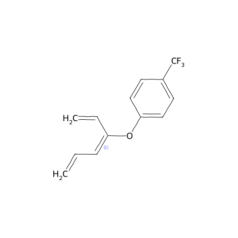 C=C/C=C(\C=C)Oc1ccc(C(F)(F)F)cc1